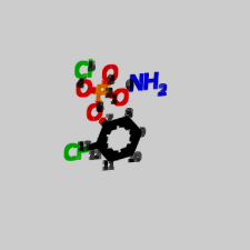 NOP(=O)(OCl)Oc1ccccc1Cl